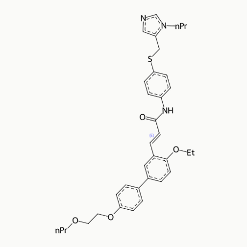 CCCOCCOc1ccc(-c2ccc(OCC)c(/C=C/C(=O)Nc3ccc(SCc4cncn4CCC)cc3)c2)cc1